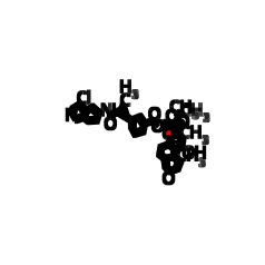 CC1C(C(=O)Nc2ccc3cncc(Cl)c3c2)C1c1cccc(C(=O)OCC(=O)C23OC(C)(C)OC2CC2C4CCC5=CC(=O)C=CC5(C)C4(F)C(O)CC23C)c1